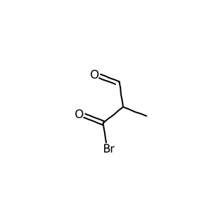 CC(C=O)C(=O)Br